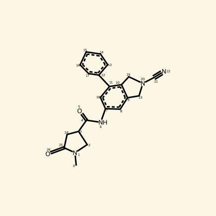 CN1CC(C(=O)Nc2cc3c(c(-c4ccccc4)c2)CN(C#N)C3)CC1=O